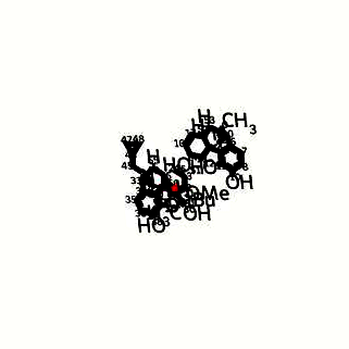 CN1CC[C@]23c4c5ccc(O)c4O[C@H]2[C@@H](O)C=C[C@H]3[C@H]1C5.CO[C@@]12CC[C@@]3(C[C@@H]1[C@](C)(O)C(C)(C)C)[C@H]1Cc4ccc(O)c5c4[C@@]3(CCN1CC1CC1)[C@H]2O5